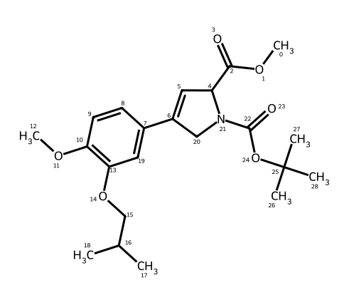 COC(=O)C1C=C(c2ccc(OC)c(OCC(C)C)c2)CN1C(=O)OC(C)(C)C